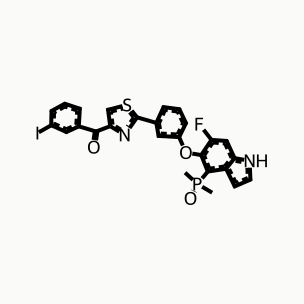 CP(C)(=O)c1c(Oc2cccc(-c3nc(C(=O)c4cccc(I)c4)cs3)c2)c(F)cc2[nH]ccc12